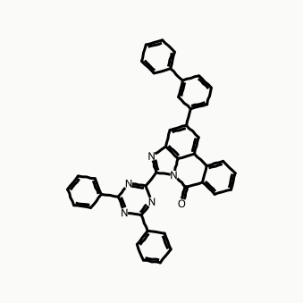 O=c1c2ccccc2c2cc(-c3cccc(-c4ccccc4)c3)cc3nc(-c4nc(-c5ccccc5)nc(-c5ccccc5)n4)n1c32